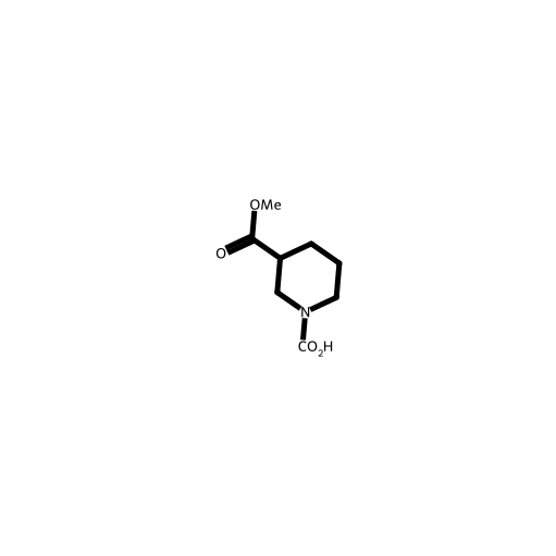 COC(=O)C1CCCN(C(=O)O)C1